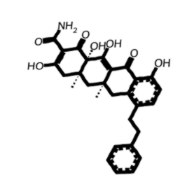 C[C@@]12Cc3c(CCc4ccccc4)ccc(O)c3C(=O)C1=C(O)[C@]1(O)C(=O)C(C(N)=O)=C(O)C[C@]1(C)C2